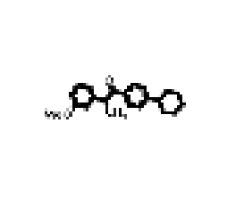 COc1cccc(C(C)C(=O)c2ccc(C3CCCCC3)cc2)c1